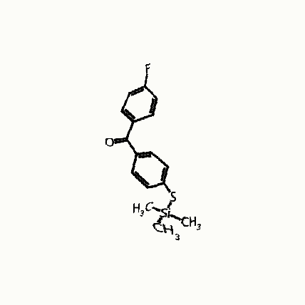 C[Si](C)(C)Sc1ccc(C(=O)c2ccc(F)cc2)cc1